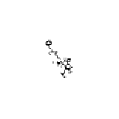 O=C(O)CC[C@@H](C(=O)O)N1C(=O)N([C@@H](CCCCNC(=O)OCc2ccccc2)C(=O)O)C(=O)C2(CCC2)C1=O